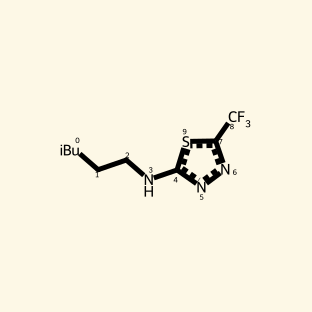 CCC(C)CCNc1nnc(C(F)(F)F)s1